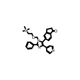 C[Si](C)(C)CCOCn1c(-c2ccccc2)nc(-c2ccncc2)c1-c1ccc2c(c1)CCC2=O